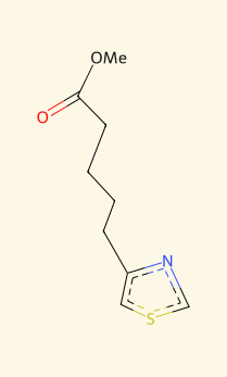 COC(=O)CCCCc1cscn1